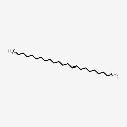 CCCCCCCCC=CCCCCCCCCCCCCC